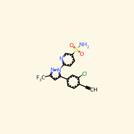 C#Cc1ccc(-c2cc(C(F)(F)F)nn2-c2ccc(S(N)(=O)=O)cn2)cc1Cl